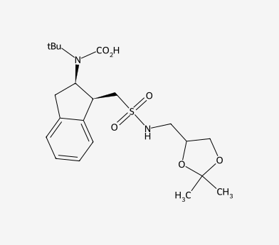 CC1(C)OCC(CNS(=O)(=O)C[C@H]2c3ccccc3C[C@H]2N(C(=O)O)C(C)(C)C)O1